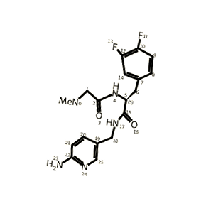 CNCC(=O)N[C@@H](Cc1ccc(F)c(F)c1)C(=O)NCc1ccc(N)nc1